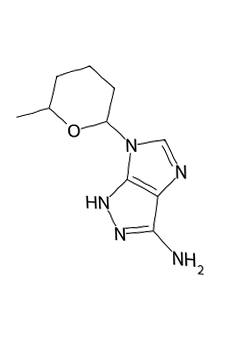 CC1CCCC(n2cnc3c(N)n[nH]c32)O1